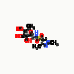 Cc1nn(C)cc1S(=O)(=O)NC[C@H]1OC(C)[C@@H](O)C(O)[C@@H]1O